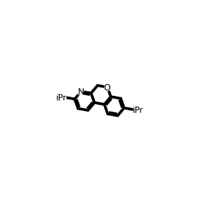 CC(C)c1ccc2c(c1)OCc1nc(C(C)C)ccc1-2